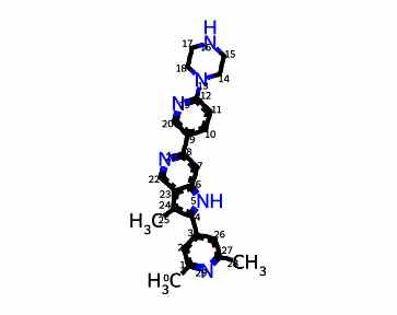 Cc1cc(-c2[nH]c3cc(-c4ccc(N5CCNCC5)nc4)ncc3c2C)cc(C)n1